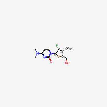 CO[C@H]1[C@H](F)[C@H](n2ccc(N(C)C)nc2=O)S[C@@H]1CO